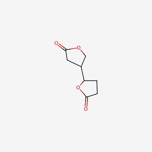 O=C1CC(C2CCC(=O)O2)CO1